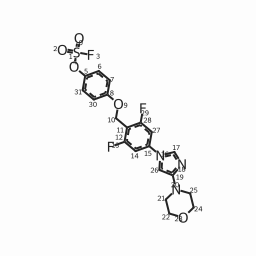 O=S(=O)(F)Oc1ccc(OCc2c(F)cc(-n3cnc(N4CCOCC4)c3)cc2F)cc1